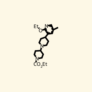 CCOC(=O)N1CCC(N2CCC(c3cc(C)cnc3OCC)CC2)CC1